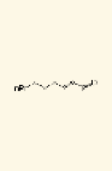 CCCCCCC=CP=O